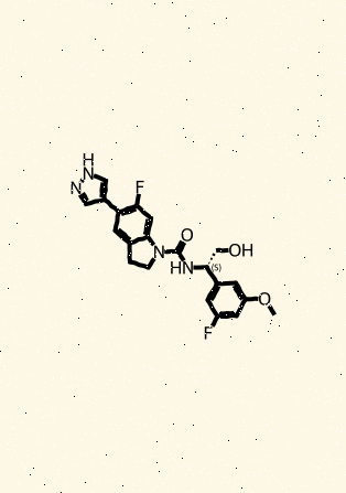 COc1cc(F)cc([C@@H](CO)NC(=O)N2CCc3cc(-c4cn[nH]c4)c(F)cc32)c1